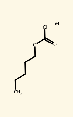 CCCCCOC(=O)O.[LiH]